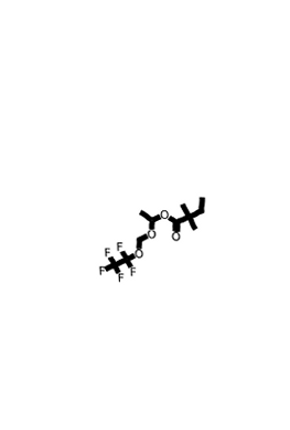 CCC(C)(C)C(=O)OC(C)OCOC(F)(F)C(F)(F)F